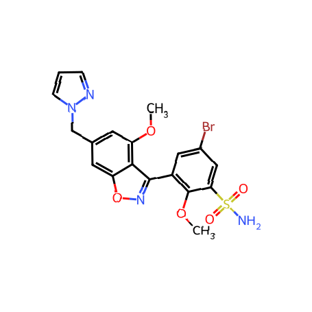 COc1c(-c2noc3cc(Cn4cccn4)cc(OC)c23)cc(Br)cc1S(N)(=O)=O